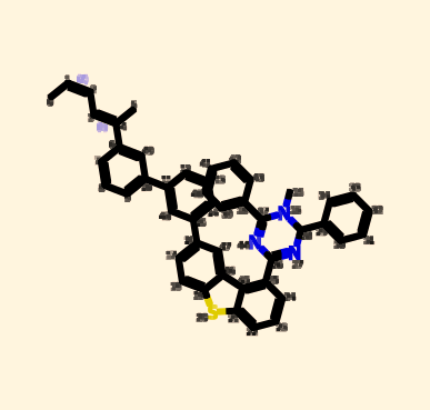 C/C=C\C=C(/C)c1cccc(-c2cccc(-c3ccc4sc5cccc(C6=NC(c7ccccc7)N(C)C(c7ccccc7)=N6)c5c4c3)c2)c1